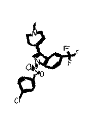 CN1CC=C(c2cn(S(=O)(=O)c3ccc(Cl)cc3)c3ccc(C(F)(F)F)cc23)CC1